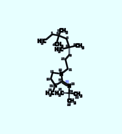 CCC(C)(C)CC(C)(C)CCCN1CCN(C)/C1=N\C(C)(C)C